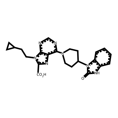 O=C(O)c1nc2c(N3CCC(n4c(=O)[nH]c5ccccc54)CC3)ncnc2n1CCC1CC1